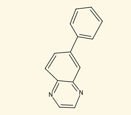 c1ccc(-c2ccc3nccnc3c2)cc1